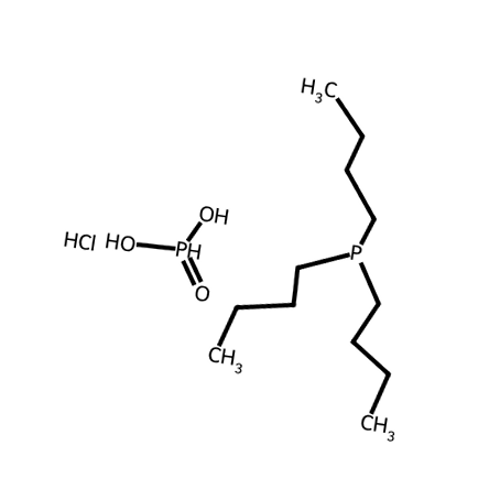 CCCCP(CCCC)CCCC.Cl.O=[PH](O)O